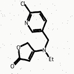 CCN(Cc1ccc(Cl)nc1)C1=CC(=O)OC1